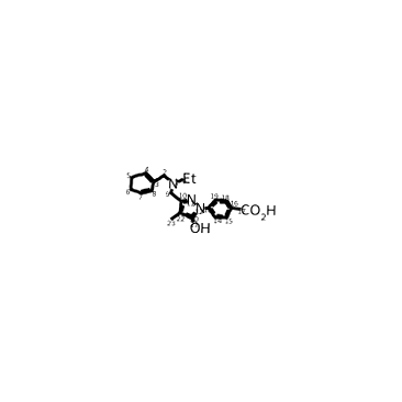 CCN(CC1=CCCC=C1)Cc1nn(-c2ccc(C(=O)O)cc2)c(O)c1C